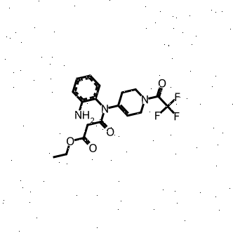 CCOC(=O)CC(=O)N(C1=CCN(C(=O)C(F)(F)F)CC1)c1ccccc1N